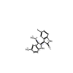 Cc1ccc2c(c1)/C(=C1/Nc3ccc(O)cc3/C1=N\O)C(=O)N2